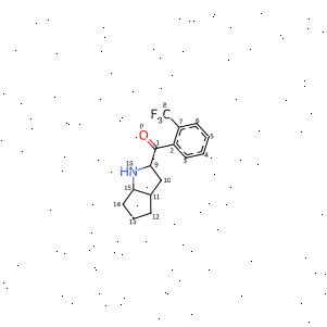 O=C(c1ccccc1C(F)(F)F)C1CC2CCCC2N1